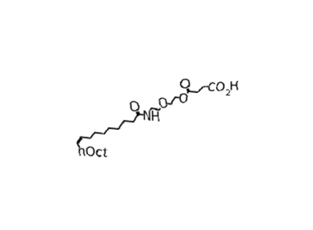 CCCCCCCC/C=C\CCCCCCCC(=O)NCCOCCOC(=O)CCC(=O)O